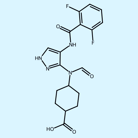 O=CN(c1n[nH]cc1NC(=O)c1c(F)cccc1F)C1CCC(C(=O)O)CC1